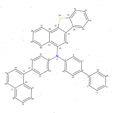 c1ccc(-c2ccc(N(c3ccc(-c4cccc5ccccc45)cc3)c3cc4c5ccccc5sc4c4ccccc34)cc2)cc1